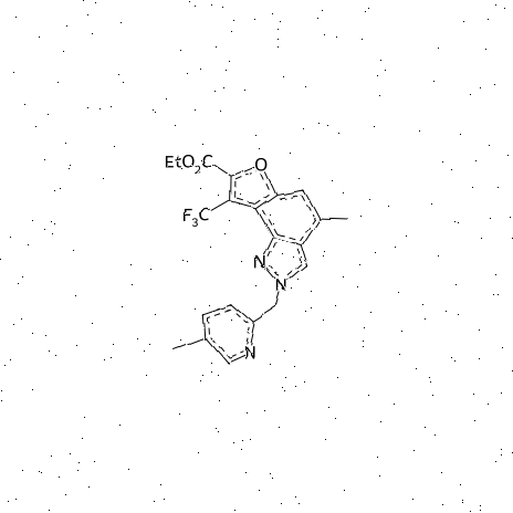 CCOC(=O)c1oc2cc(C)c3cn(Cc4ccc(C)cn4)nc3c2c1C(F)(F)F